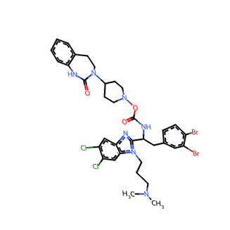 CN(C)CCCn1c(C(Cc2ccc(Br)c(Br)c2)NC(=O)ON2CCC(N3CCc4ccccc4NC3=O)CC2)nc2cc(Cl)c(Cl)cc21